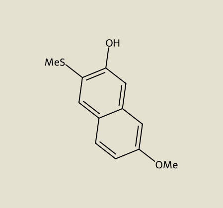 COc1ccc2cc(SC)c(O)cc2c1